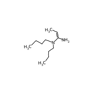 CC=C(N)N(CCCC)CCCC